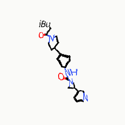 CCC(C)CC(=O)N1CCC(c2ccc(NC(=O)N3CC(c4cccnc4)C3)cc2)CC1